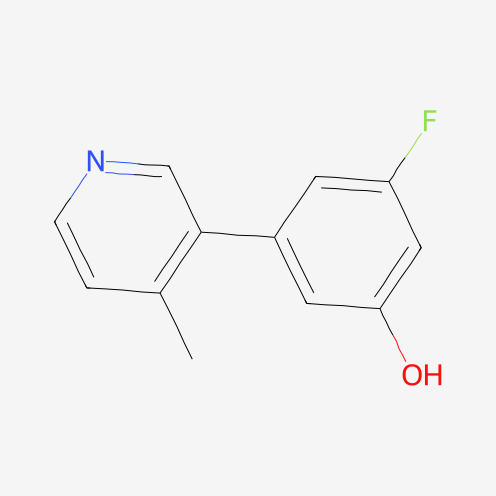 Cc1ccncc1-c1cc(O)cc(F)c1